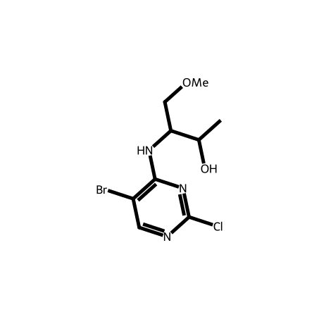 COCC(Nc1nc(Cl)ncc1Br)C(C)O